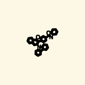 c1ccc2c(c1)cc(-n1c3ccccc3c3ccccc31)c1c3ccc(-c4nc5ccccc5o4)cc3oc21